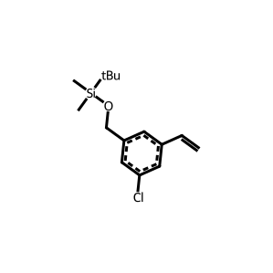 C=Cc1cc(Cl)cc(CO[Si](C)(C)C(C)(C)C)c1